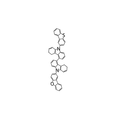 C1=Cc2c(c3c(-c4cccc5c4c4c(n5-c5ccc6sc7ccccc7c6c5)C=CCC4)cccc3n2-c2ccc3oc4ccccc4c3c2)CC1